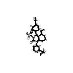 CC=C1CCCC2=C1C(c1ccc(C#N)cc1)N(S(C)(=O)=O)C(=O)N2c1ccnc(C(F)(F)F)c1